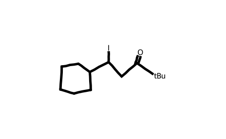 CC(C)(C)C(=O)CC(I)C1CCCCC1